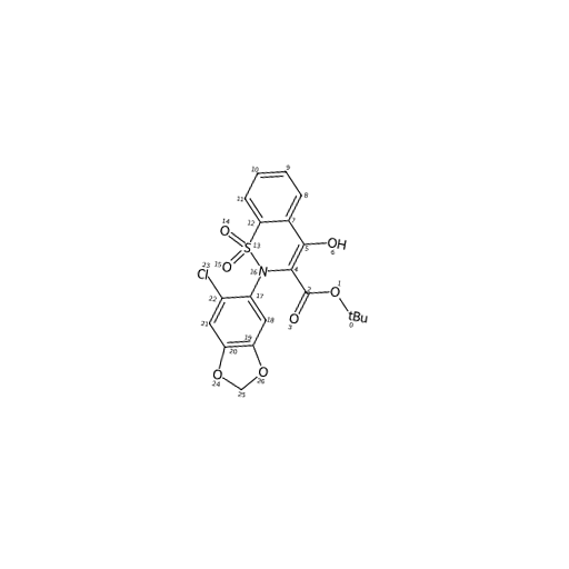 CC(C)(C)OC(=O)C1=C(O)c2ccccc2S(=O)(=O)N1c1cc2c(cc1Cl)OCO2